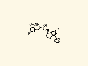 CCc1cc(-c2nccs2)c2c(c1)[C@H](NC[C@@H](O)[C@H](Cc1cc(F)cc(F)c1)NC(C)=O)CCC2